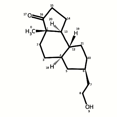 C[C@]12CC[C@@H]3C[C@H](CCO)CC[C@H]3[C@@H]1CCC2=O